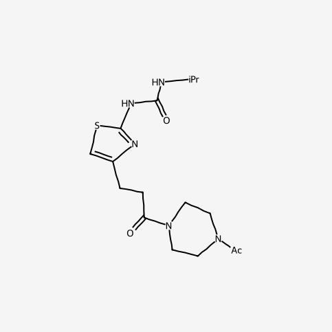 CC(=O)N1CCN(C(=O)CCc2csc(NC(=O)NC(C)C)n2)CC1